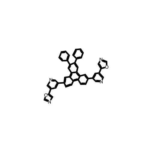 c1ccc(-c2cc3c4cc(-c5cncc(-c6cnco6)c5)ccc4c4ccc(-c5cncc(-c6cnco6)c5)cc4c3cc2-c2ccccc2)cc1